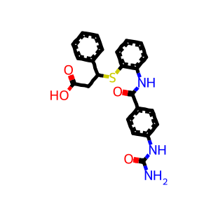 NC(=O)Nc1ccc(C(=O)Nc2ccccc2SC(CC(=O)O)c2ccccc2)cc1